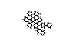 c1ccc(-c2nc(-c3cccc(-c4c(-c5ccccc5)c(-c5ccccc5)c(-c5ccccc5)c(-c5ccccc5)c4-c4ccccc4)c3)nc(-c3cccc4ccccc34)n2)cc1